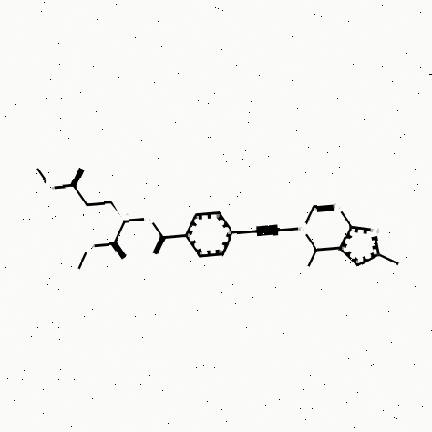 COC(=O)CC[C@@H](NC(=O)c1ccc(C#CN2C=Nc3[nH]c(C)cc3C2O)cc1)C(=O)OC